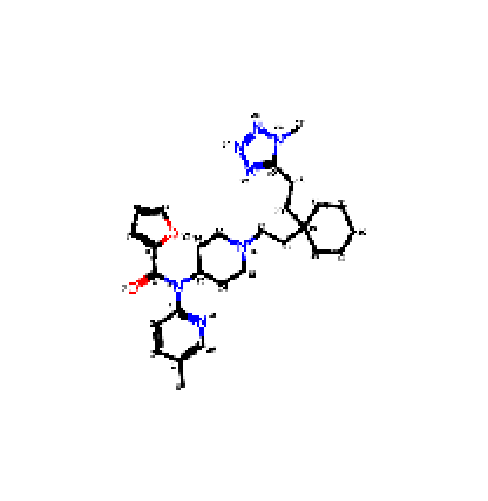 Cc1ccc(N(C(=O)c2ccco2)C2CCN(CCC3(CCc4nnnn4C)CCCCC3)CC2)nc1